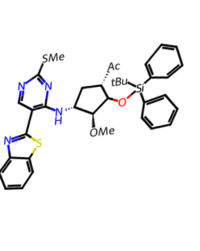 CO[C@@H]1C(O[Si](c2ccccc2)(c2ccccc2)C(C)(C)C)[C@@H](C(C)=O)C[C@H]1Nc1nc(SC)ncc1-c1nc2ccccc2s1